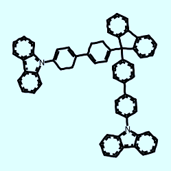 C1=C(C2=CC=C(C3(c4ccc(-c5ccc(-n6c7ccccc7c7ccccc76)cc5)cc4)c4ccccc4-c4ccccc43)CC2)CCC(n2c3ccccc3c3ccccc32)=C1